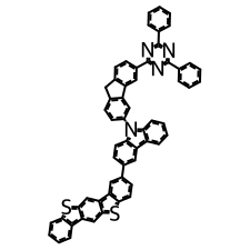 c1ccc(-c2nc(-c3ccccc3)nc(-c3ccc4c(c3)-c3cc(-n5c6ccccc6c6cc(-c7ccc8sc9cc%10c(cc9c8c7)sc7ccccc7%10)ccc65)ccc3C4)n2)cc1